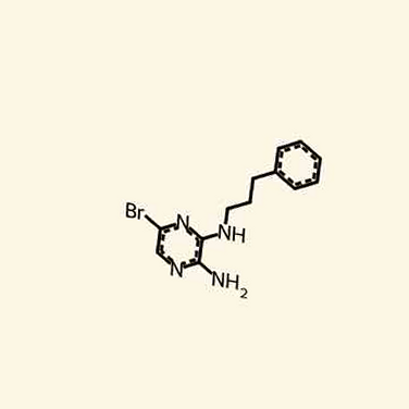 Nc1ncc(Br)nc1NCCCc1ccccc1